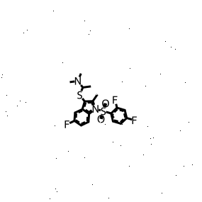 Cc1c(SC(C)N(C)C)c2cc(F)ccc2n1S(=O)(=O)c1ccc(F)cc1F